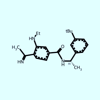 CCNc1cc(C(=O)N[C@@H](C)c2cccc(C(C)(C)C)c2)ccc1C(C)=N